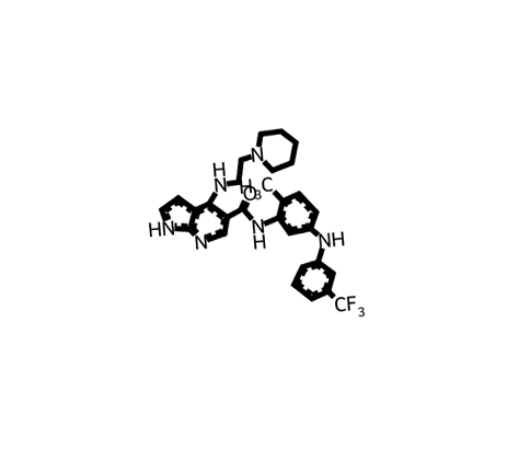 Cc1ccc(Nc2cccc(C(F)(F)F)c2)cc1NC(=O)c1cnc2[nH]ccc2c1NCCN1CCCCC1